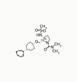 CN(C)C(=O)N1CC[C@@H](NS(C)(=O)=O)[C@H]1CO[C@H]1CC[C@@H](c2ccccc2)CC1